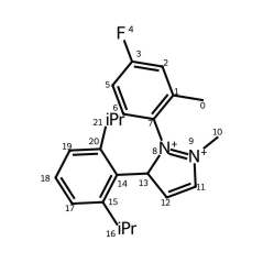 Cc1cc(F)ccc1[N+]1=[N+](C)C=CC1c1c(C(C)C)cccc1C(C)C